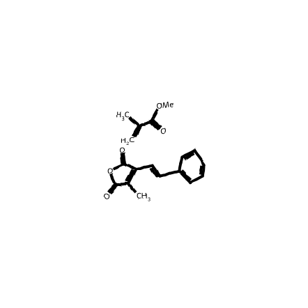 C=C(C)C(=O)OC.CC1=C(C=Cc2ccccc2)C(=O)OC1=O